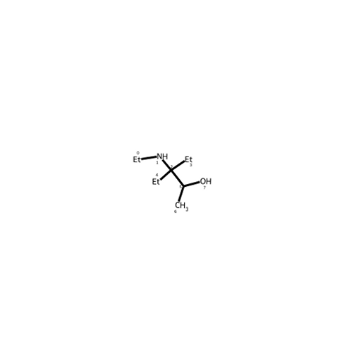 [CH2]CNC(CC)(CC)C(C)O